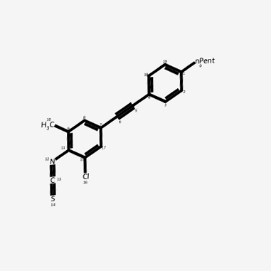 CCCCCc1ccc(C#Cc2cc(C)c(N=C=S)c(Cl)c2)cc1